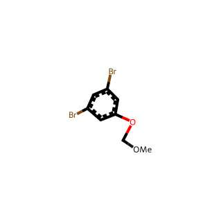 COCOc1cc(Br)cc(Br)c1